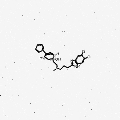 CN(CCCc1nc2cc(Cl)c(Cl)cc2[nH]1)CC[C@]1(O)C[C@H]2CC[C@@H]1C=C2c1ccccc1